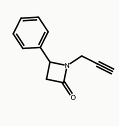 C#CCN1C(=O)CC1c1ccccc1